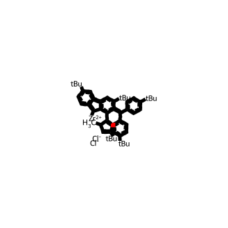 CC1C=C(C(C)(C)C)C=C1c1c2c(cc(C(C)(C)C)c1=C(c1ccc(C(C)(C)C)cc1)c1ccc(C(C)(C)C)cc1)=c1cc(C(C)(C)C)ccc1=[C]2[Zr+2].[Cl-].[Cl-]